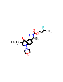 CCOC(=O)c1cn(N2CCOCC2)c2ccc(C(CC)NC(=O)OCCC(C)F)cc2c1=O